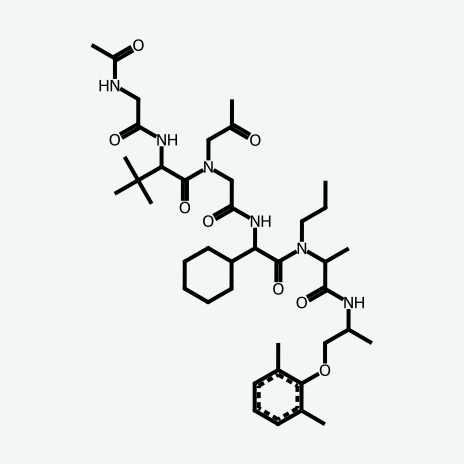 CCCN(C(=O)C(NC(=O)CN(CC(C)=O)C(=O)C(NC(=O)CNC(C)=O)C(C)(C)C)C1CCCCC1)C(C)C(=O)NC(C)COc1c(C)cccc1C